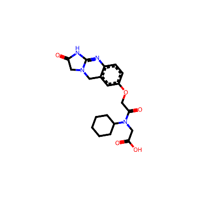 O=C(O)CN(C(=O)COc1ccc2c(c1)CN1CC(=O)NC1=N2)C1CCCCC1